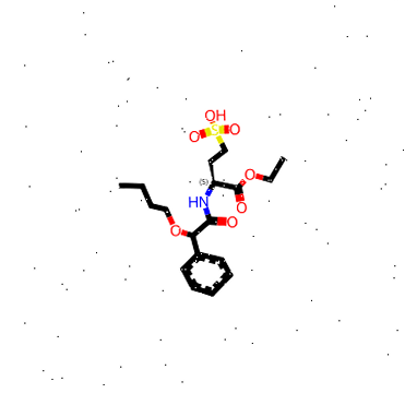 CCCCOC(C(=O)N[C@@H](CCS(=O)(=O)O)C(=O)OCC)c1ccccc1